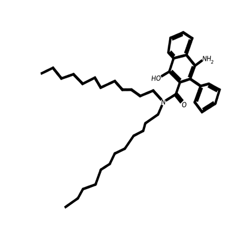 CCCCCCCCCCCCN(CCCCCCCCCCCC)C(=O)c1c(-c2ccccc2)c(N)c2ccccc2c1O